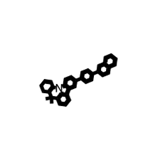 CC1(C)C2=C(C=CCC2)n2c3ccc(-c4ccc(-c5ccc6ccccc6c5)cc4)cc3c3cccc1c32